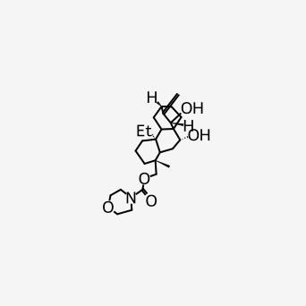 C=C1[C@H]2CCC3(C(C2)[C@]2(CC)CCC[C@@](C)(COC(=O)N4CCOCC4)C2C[C@H]3O)[C@H]1O